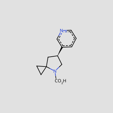 O=C(O)N1C[C@H](c2cccnc2)CC12CC2